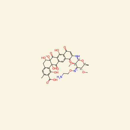 CO[C@@H]1/C(=N/OCCN)[C@@H](OC)[C@@H](NC2=CC(=O)c3c(cc4c(c3O)C(=O)C3(OC)C(O)Cc5cc(C)c(C(=O)O)c(O)c5C3(O)C4=O)C2=O)O[C@H]1C